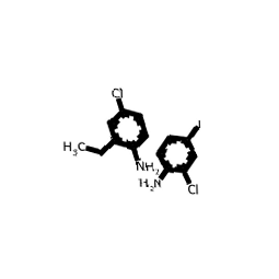 CCc1cc(Cl)ccc1N.Nc1ccc(I)cc1Cl